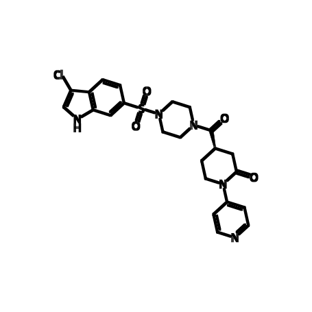 O=C([C@@H]1CCN(c2ccncc2)C(=O)C1)N1CCN(S(=O)(=O)c2ccc3c(Cl)c[nH]c3c2)CC1